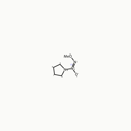 [CH2]O/N=[N+](/[O-])N1CCCC1